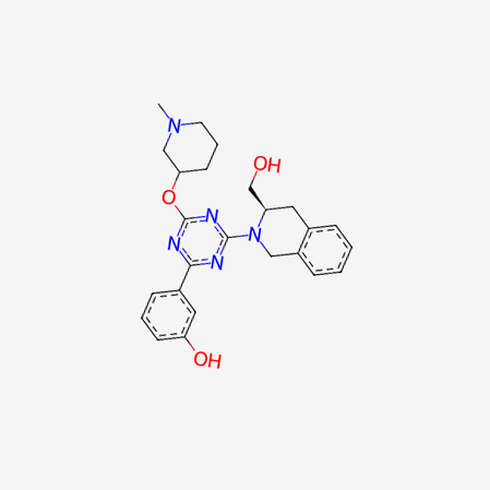 CN1CCCC(Oc2nc(-c3cccc(O)c3)nc(N3Cc4ccccc4C[C@@H]3CO)n2)C1